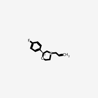 C=CCN1CCO[C@@H](c2ccc(F)cc2)C1